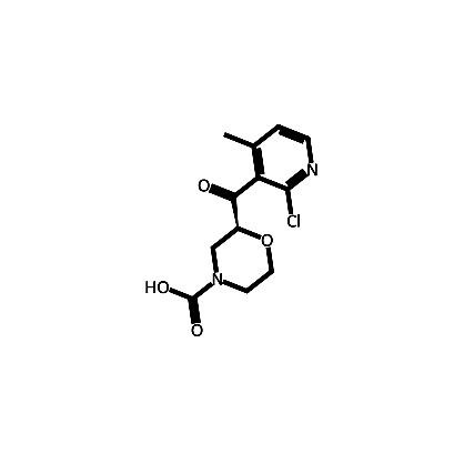 Cc1ccnc(Cl)c1C(=O)[C@@H]1CN(C(=O)O)CCO1